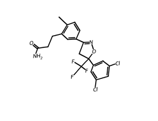 Cc1ccc(C2=NOC(c3cc(Cl)cc(Cl)c3)(C(F)(F)F)C2)cc1CCC(N)=O